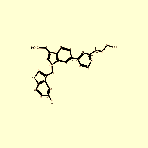 O=C(O)Cc1cn(Cc2csc3ccc(Cl)cc23)c2cc(-c3ccnc(NCCO)c3)ccc12